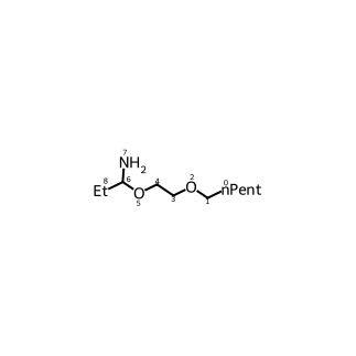 CCCCCCOCCOC(N)CC